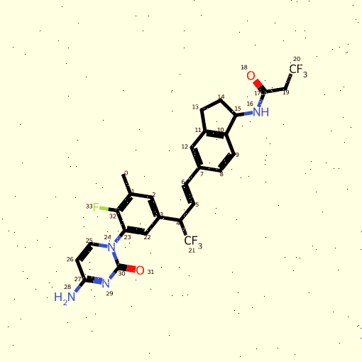 Cc1cc(C(/C=C/c2ccc3c(c2)CCC3NC(=O)CC(F)(F)F)C(F)(F)F)cc(-n2ccc(N)nc2=O)c1F